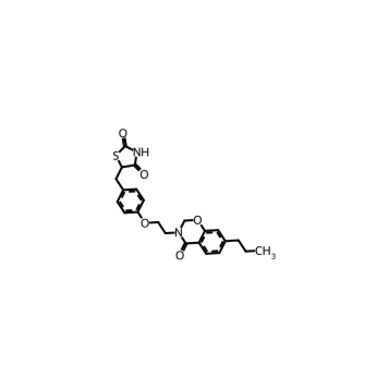 CCCc1ccc2c(c1)OCN(CCOc1ccc(CC3SC(=O)NC3=O)cc1)C2=O